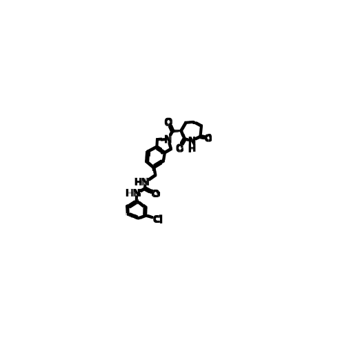 O=C1CCC[C@H](C(=O)N2Cc3ccc(CNC(=O)Nc4cccc(Cl)c4)cc3C2)C(=O)N1